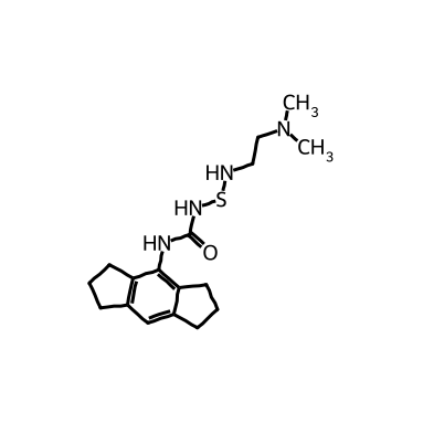 CN(C)CCNSNC(=O)Nc1c2c(cc3c1CCC3)CCC2